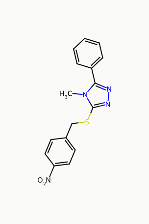 Cn1c(SCc2ccc([N+](=O)[O-])cc2)nnc1-c1ccccc1